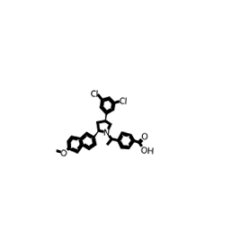 COc1ccc2cc([C@H]3C[C@@H](c4cc(Cl)cc(Cl)c4)CN3C(C)c3ccc(C(=O)O)cc3)ccc2c1